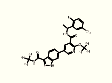 [2H]C([2H])([2H])NC(=O)c1n[nH]c2cc(-c3cnc(OC([2H])([2H])[2H])c(C(=O)NC(C)c4cc(C(F)(F)F)ccc4F)c3)ccc12